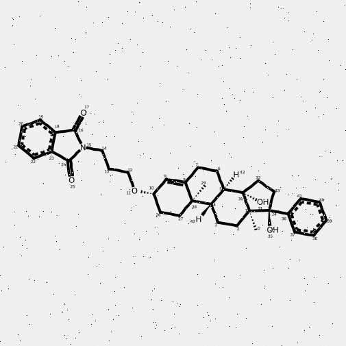 C[C@]12CC[C@H]3[C@@H](CCC4=C[C@@H](OCCCN5C(=O)c6ccccc6C5=O)CC[C@@]43C)[C@@]1(O)CC[C@]2(O)c1ccccc1